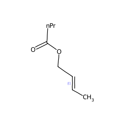 C/C=C/COC(=O)CCC